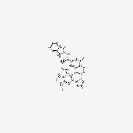 COc1ccc(-c2cnsc2-c2cc(OC)c(OC)c(OC)c2)cc1NC(=O)[C@@H](N)Cc1cc2ccccc2[nH]1